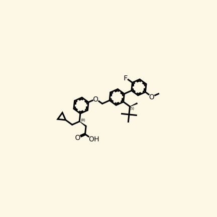 COc1ccc(F)c(-c2ccc(COc3cccc([C@@H](CC(=O)O)CC4CC4)c3)cc2[C@@H](C)C(C)(C)C)c1